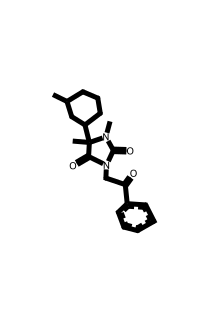 CC1CCCC(C2(C)C(=O)N(CC(=O)c3ccccc3)C(=O)N2C)C1